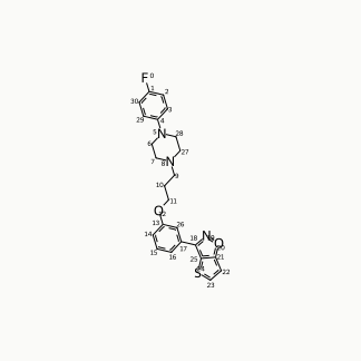 Fc1ccc(N2CCN(CCCOc3cccc(-c4noc5ccsc45)c3)CC2)cc1